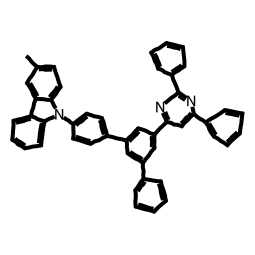 Cc1ccc2c(c1)c1ccccc1n2-c1ccc(-c2cc(-c3ccccc3)cc(-c3cc(-c4ccccc4)nc(-c4ccccc4)n3)c2)cc1